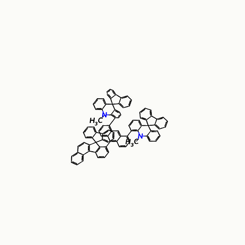 CN1c2ccccc2C2(c3ccccc3-c3ccccc32)c2cccc(-c3cccc4c(-c5cccc6c5C5(c7ccccc7-c7ccccc75)c5ccc7ccccc7c5-6)c5cccc(-c6cccc7c6N(C)c6ccccc6C76c7ccccc7-c7ccccc76)c5cc34)c21